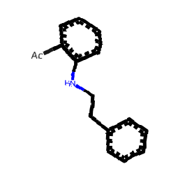 CC(=O)c1ccccc1NCCc1ccccc1